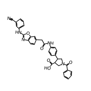 N#Cc1cccc(Nc2nc3ccc(CC(=O)Nc4ccc(C5CN(C(=O)c6ccccc6)CC5C(=O)O)cc4)cc3o2)c1